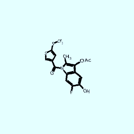 CC(=O)Oc1c(C)n(C(=O)c2csc(SC(F)(F)F)c2)c2cc(F)c(O)cc12